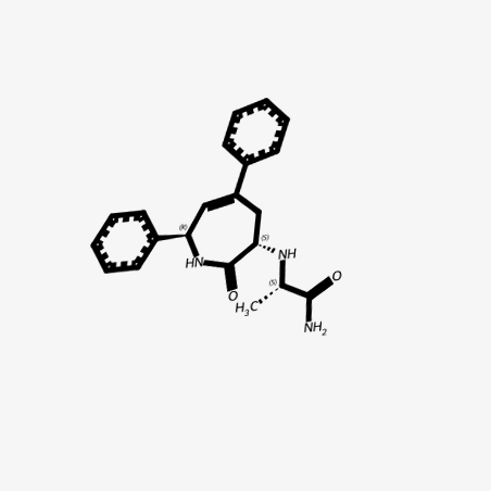 C[C@H](N[C@H]1CC(c2ccccc2)=C[C@H](c2ccccc2)NC1=O)C(N)=O